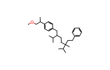 COCC(C)c1ccc(CC(C[CH]C(C)(CCc2ccccc2)C(C)C)C(C)C)cc1